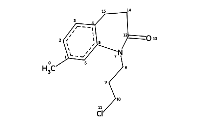 Cc1ccc2c(c1)N(CCCCl)C(=O)CC2